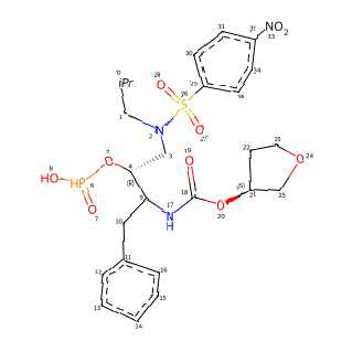 CC(C)CN(C[C@@H](O[PH](=O)O)C(Cc1ccccc1)NC(=O)O[C@H]1CCOC1)S(=O)(=O)c1ccc([N+](=O)[O-])cc1